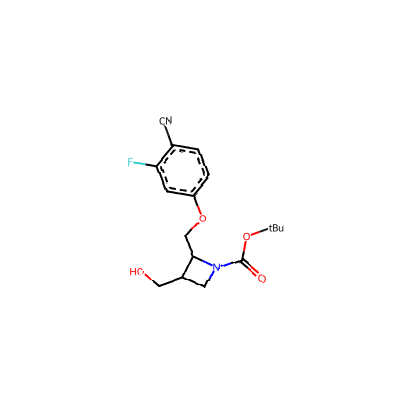 CC(C)(C)OC(=O)N1CC(CO)C1COc1ccc(C#N)c(F)c1